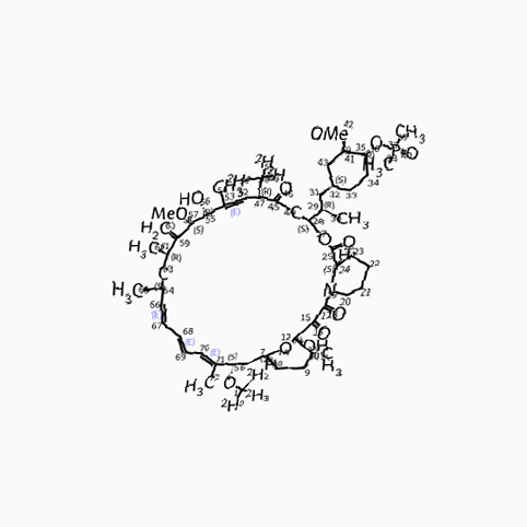 [2H]C([2H])([2H])O[C@H]1C[C@@H]2CC[C@@H](C)[C@@](O)(O2)C(=O)C(=O)N2CCCC[C@H]2C(=O)O[C@H]([C@H](C)C[C@@H]2CC[C@@H](OP(C)(C)=O)[C@H](OC)C2)CC(=O)[C@H](C([2H])([2H])[2H])/C=C(\C)[C@@H](O)[C@@H](OC)C(=C)[C@H](C)C[C@H](C)/C=C/C=C/C=C/1C